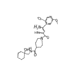 COc1cc(/C(N)=C/C(=N)C(=O)N2CCC(C(=O)NCC3(O)CCCCC3)CC2)c(Cl)cn1